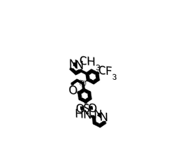 Cn1nccc1-c1cc(C(F)(F)F)ccc1[C@H]1CCOc2cc(S(=O)(=O)Nc3cccnn3)ccc21